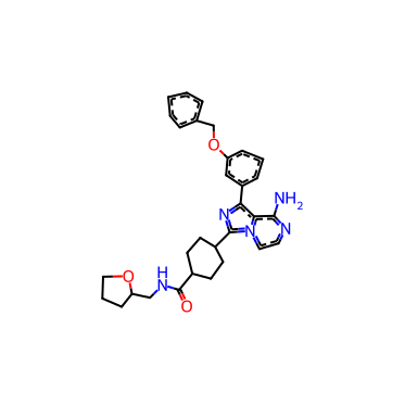 Nc1nccn2c(C3CCC(C(=O)NCC4CCCO4)CC3)nc(-c3cccc(OCc4ccccc4)c3)c12